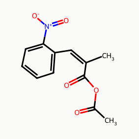 CC(=O)OC(=O)C(C)=Cc1ccccc1[N+](=O)[O-]